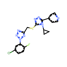 Fc1ccc(Cl)cc1-n1nnc(CSc2nnc(-c3ccncc3)n2C2CC2)n1